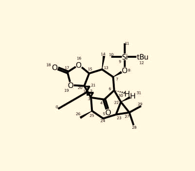 CC1=C[C@]23C(=O)[C@@H]([C@H](O[Si](C)(C)C(C)(C)C)[C@H](C)C4OC(=O)O[C@]42C1)[C@H]1C(C[C@H]3C)C1(C)C